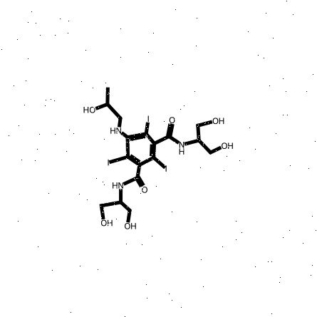 CC(O)CNc1c(I)c(C(=O)NC(CO)CO)c(I)c(C(=O)NC(CO)CO)c1I